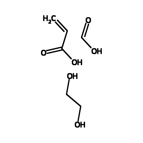 C=CC(=O)O.O=CO.OCCO